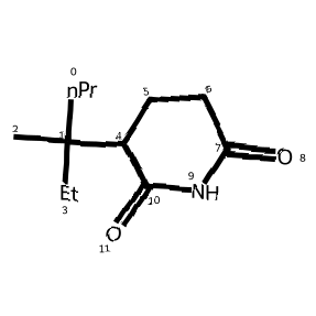 CCCC(C)(CC)C1CCC(=O)NC1=O